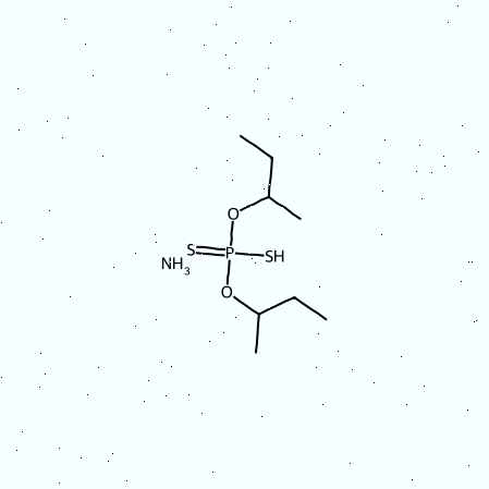 CCC(C)OP(=S)(S)OC(C)CC.N